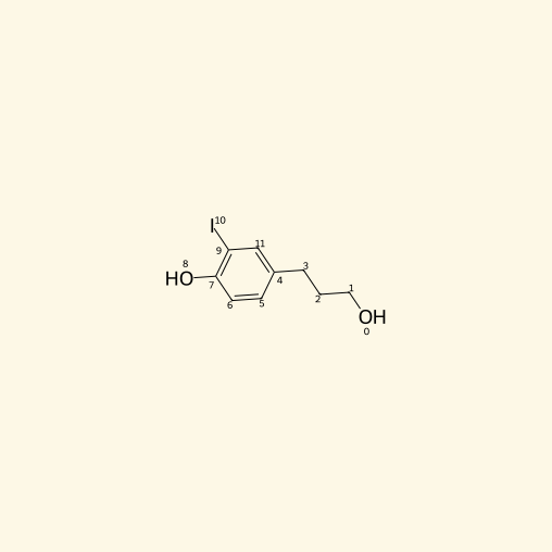 OCCCc1ccc(O)c(I)c1